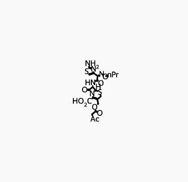 CCCO/N=C(\C(=O)N[C@@H]1C(=O)N2C(C(=O)O)=C(COC(=O)CC(C)=O)CS[C@@H]12)c1csc(N)n1